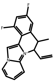 C=CC1C(C)c2cc(F)cc(F)c2-c2cn3ccccc3[n+]21